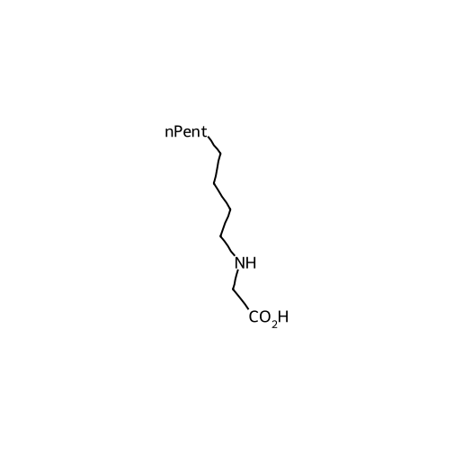 CCCCCCCCCNCC(=O)O